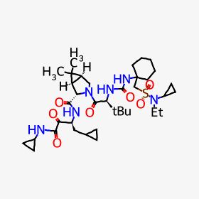 CCN(C1CC1)S(=O)(=O)CC1(NC(=O)N[C@H](C(=O)N2C[C@H]3[C@@H]([C@H]2C(=O)N[C@@H](CC2CC2)C(=O)C(=O)NC2CC2)C3(C)C)C(C)(C)C)CCCCC1